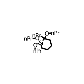 CCCOC1(CCC)CCCC[Si]1(OCCC)OCCC